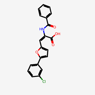 O=C(O)/C(=C\c1ccc(-c2cccc(Cl)c2)o1)NC(=O)c1ccccc1